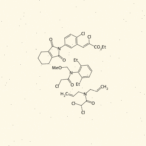 C=CCN(CC=C)C(=O)C(Cl)Cl.CCOC(=O)/C(Cl)=C/c1cc(N2C(=O)C3=C(CCCC3)C2=O)ccc1Cl.CCc1cccc(CC)c1N(COC)C(=O)CCl